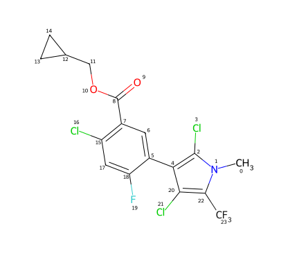 Cn1c(Cl)c(-c2cc(C(=O)OCC3CC3)c(Cl)cc2F)c(Cl)c1C(F)(F)F